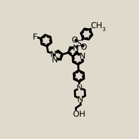 Cc1ccc(S(=O)(=O)n2cc(-c3cnn(Cc4cccc(F)c4)c3)c3cc(-c4ccc(N5CCN(CCO)CC5)cc4)cnc32)cc1